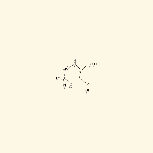 CCCNC(CCO)C(=O)O.CCOC(=O)Cl.N